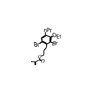 C=C(C)C(=O)OCCCc1c(Br)cc(CCC)c(OCC)c1Br